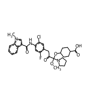 COC(OC1CCC(C(=O)O)CC1)(C(=O)Cc1cc(Cl)c(NC(=O)c2cn(C)c3ccccc23)cc1F)N1CCCC1